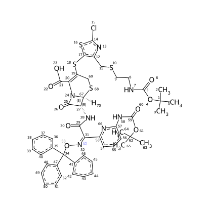 CC(C)(C)OC(=O)NCCSCc1nc(Cl)sc1SC1=C(C(=O)O)N2C(=O)[C@@H](NC(=O)/C(=N\OC(c3ccccc3)(c3ccccc3)c3ccccc3)c3cccc(NC(=O)OC(C)(C)C)n3)[C@@H]2SC1